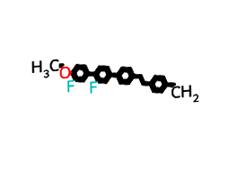 C=Cc1ccc(CCc2ccc(-c3ccc(-c4ccc(OCC)c(F)c4)c(F)c3)cc2)cc1